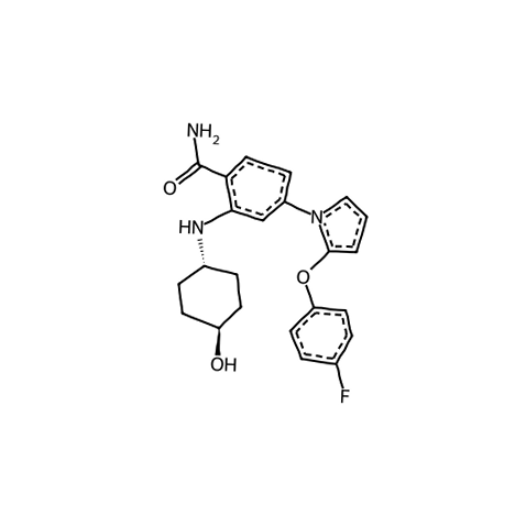 NC(=O)c1ccc(-n2cccc2Oc2ccc(F)cc2)cc1N[C@H]1CC[C@H](O)CC1